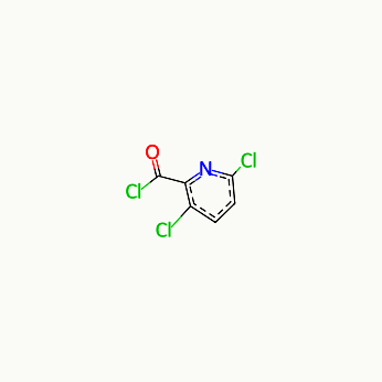 O=C(Cl)c1nc(Cl)ccc1Cl